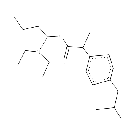 CCCC(OC(=O)C(C)c1ccc(CC(C)C)cc1)N(CC)CC.Cl